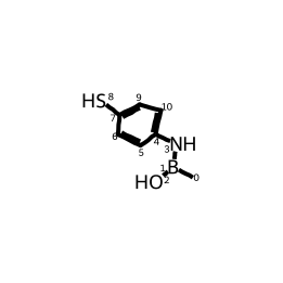 CB(O)Nc1ccc(S)cc1